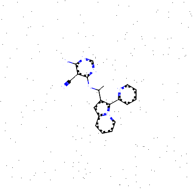 CC(Nc1ncnc(N)c1C#N)c1cc2ccccn2c1-c1ccccn1